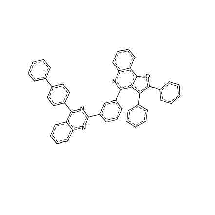 c1ccc(-c2ccc(-c3nc(-c4cccc(-c5nc6ccccc6c6oc(-c7ccccc7)c(-c7ccccc7)c56)c4)nc4ccccc34)cc2)cc1